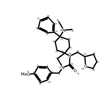 COc1ccc(CN2CC3(CCC(c4ccccc4)(N(C)C)CC3)N(CC3CCCO3)C2=O)cc1